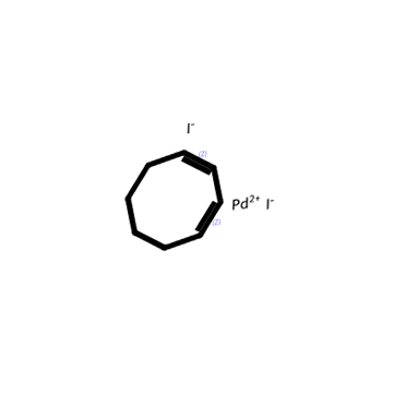 C1=C\CCCC\C=C/1.[I-].[I-].[Pd+2]